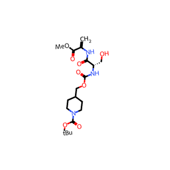 C=C(NC(=O)[C@H](CO)NC(=O)OCC1CCN(C(=O)OC(C)(C)C)CC1)C(=O)OC